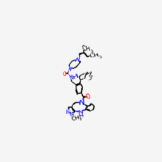 CC=C(C)CN1CCN(C(=O)NCc2ccc(C(=O)N3Cc4cnn(C)c4Nc4ccccc43)cc2C)CC1